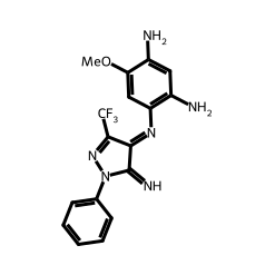 COc1cc(N=C2C(=N)N(c3ccccc3)N=C2C(F)(F)F)c(N)cc1N